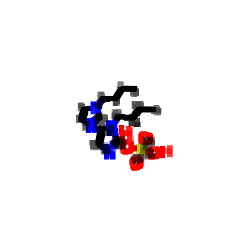 CCCCn1ccnc1.CCCCn1ccnc1.O=S(=O)(O)O